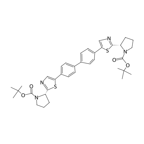 CC(C)(C)OC(=O)N1CCC[C@H]1c1ncc(-c2ccc(-c3ccc(-c4cnc([C@@H]5CCCN5C(=O)OC(C)(C)C)s4)cc3)cc2)s1